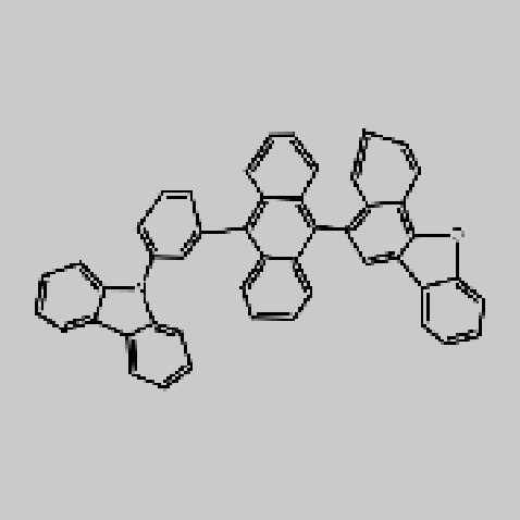 c1cc(-c2c3ccccc3c(-c3cc4c5ccccc5oc4c4ccccc34)c3ccccc23)cc(-n2c3ccccc3c3ccccc32)c1